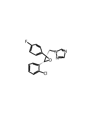 Fc1ccc([C@@]2(Cn3cncn3)O[C@@H]2c2ccccc2Cl)cc1